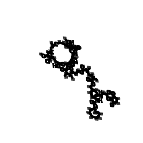 COC1=C(Cl)C2CC(=C1)CC(C)CCC[C@@H](OC)[C@@]1(O)C[C@H](OC(=O)N1)[C@@H](C)[C@@H]1O[C@@]1(C)[C@@H](OC(=O)[C@H](C)N(C)C(=O)CCOC(=O)N(C)CCN(C)C(=O)OCc1ccc(NC(=O)OC3/C=C/CCCCC3)c(NCC(=O)ON3C(=O)CCC3=O)c1)CC(O)C2